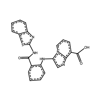 O=C(Nc1nc2ccccc2s1)c1ccccc1Nc1cnc2c(C(=O)O)cccn12